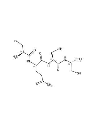 CC(C)C[C@H](N)C(=O)N[C@@H](CCC(N)=O)C(=O)N[C@@H](CS)C(=O)N[C@@H](CS)C(=O)O